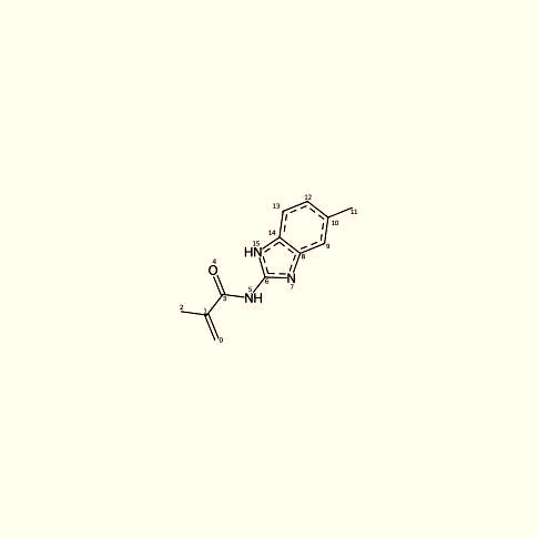 C=C(C)C(=O)Nc1nc2cc(C)ccc2[nH]1